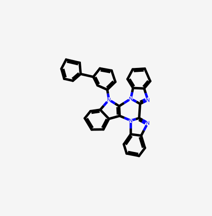 c1ccc(-c2cccc(-n3c4ccccc4c4c3n3c5ccccc5nc3c3nc5ccccc5n34)c2)cc1